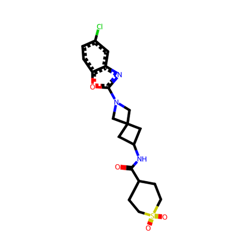 O=C(NC1CC2(C1)CN(c1nc3cc(Cl)ccc3o1)C2)C1CCS(=O)(=O)CC1